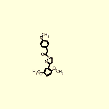 COc1ccc(CC(=O)N2CCC(c3cc(OC)ccc3OC)=N2)cc1